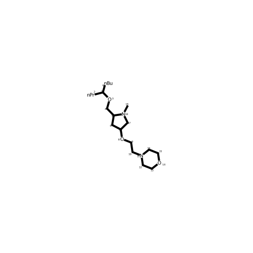 CCCCC(CCC)OCC1CC(OCCN2CCOCC2)CN1C